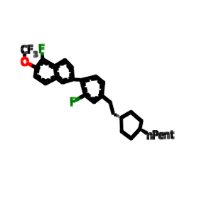 CCCCC[C@H]1CC[C@H](CCc2ccc(-c3ccc4c(F)c(OC(F)(F)F)ccc4c3)c(F)c2)CC1